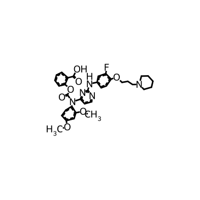 COc1ccc(N(C(=O)Oc2ccccc2C(=O)O)c2ccnc(Nc3ccc(OCCCN4CCCCC4)c(F)c3)n2)c(OC)c1